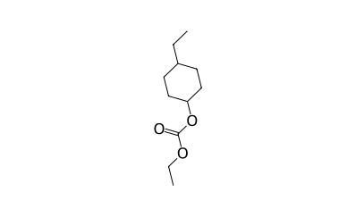 CCOC(=O)OC1CCC(CC)CC1